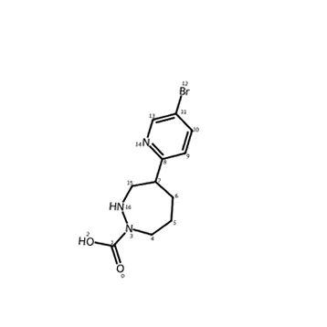 O=C(O)N1CCCC(c2ccc(Br)cn2)CN1